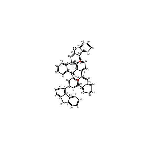 c1cc(-c2cccc3sc4ccccc4c23)cc(N(c2ccccc2-c2ccc3ccccc3c2)c2ccccc2-c2ccc3c(c2)oc2ccccc23)c1